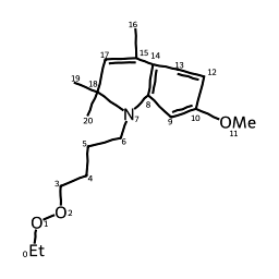 CCOOCCCCN1c2cc(OC)ccc2C(C)=CC1(C)C